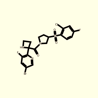 O=C(N1CCC(S(=O)(=O)c2ccc(F)cc2Cl)C1)C1(c2ncc(Br)cc2F)CCN1